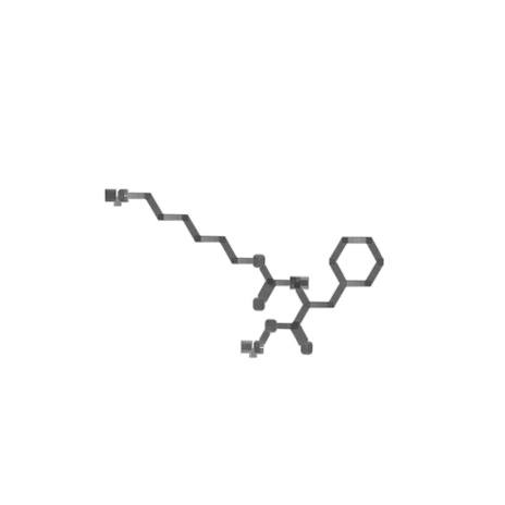 CCCCCCCOC(=O)NC(CC1CCCCC1)C(=O)OC